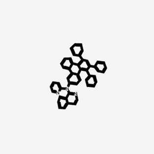 c1ccc(-c2cc(-c3ccccc3)c3c4ccccc4c4cc(N(c5ccccn5)c5nccc6ccccc56)ccc4c3c2-c2ccccc2)cc1